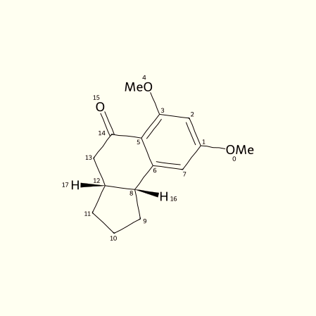 COc1cc(OC)c2c(c1)[C@@H]1CCC[C@@H]1CC2=O